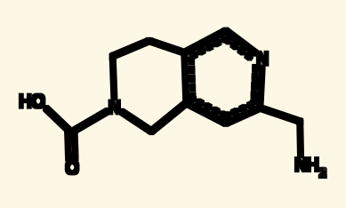 NCc1cc2c(cn1)CCN(C(=O)O)C2